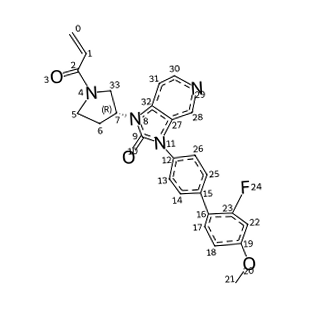 C=CC(=O)N1CC[C@@H](n2c(=O)n(-c3ccc(-c4ccc(OC)cc4F)cc3)c3cnccc32)C1